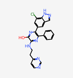 Oc1nc(-c2cc(Cl)c3[nH]ncc3c2)c(-c2ccccc2)nc1NCCc1ccncn1